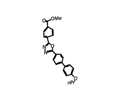 CCCOc1ccc(-c2ccc(-c3nnc(-c4ccc(C(=O)OC)cc4)o3)cc2)cc1